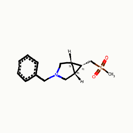 CS(=O)(=O)C[C@@H]1[C@@H]2CN(Cc3ccccc3)C[C@@H]21